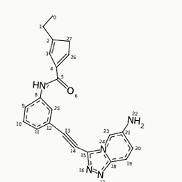 CCC1=CC(C(=O)Nc2cccc(C#Cc3nnc4ccc(N)cn34)c2)=CC1